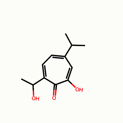 CC(C)c1ccc(C(C)O)c(=O)c(O)c1